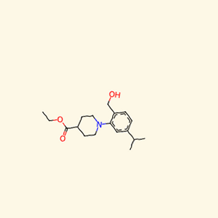 CCOC(=O)C1CCN(c2cc(C(C)C)ccc2CO)CC1